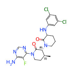 C[C@H]1CCN(c2ncnc(N)c2F)C(=O)[C@@H]1N1CCCC(Nc2cc(Cl)cc(Cl)c2)C1=O